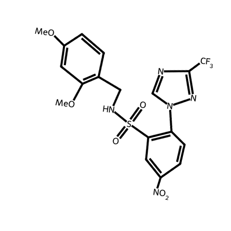 COc1ccc(CNS(=O)(=O)c2cc([N+](=O)[O-])ccc2-n2cnc(C(F)(F)F)n2)c(OC)c1